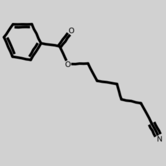 N#CCCCCCOC(=O)c1ccccc1